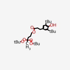 CC(C)(C)OOC(C)(CCCOC(=O)CCc1cc(C(C)(C)C)c(O)c(C(C)(C)C)c1)OOC(C)(C)C